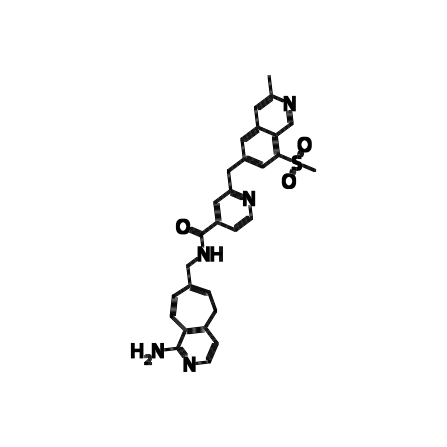 Cc1cc2cc(Cc3cc(C(=O)NCC4=CCc5ccnc(N)c5C=C4)ccn3)cc(S(C)(=O)=O)c2cn1